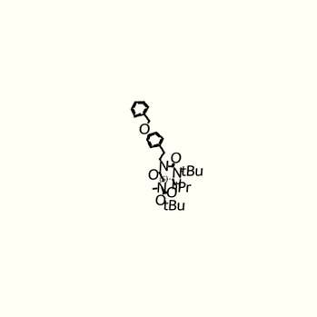 CC(C)C[C@@H](C(=O)N(CCc1ccc(OCc2ccccc2)cc1)C(=O)NC(C)(C)C)N(C)C(=O)OC(C)(C)C